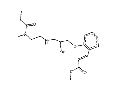 CCC(=O)N(C)CCNCC(O)COc1ccccc1C=CC(=O)OC